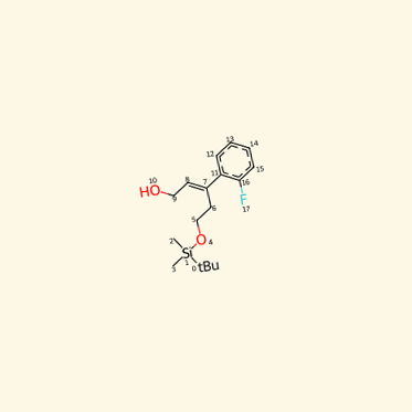 CC(C)(C)[Si](C)(C)OCC/C(=C\CO)c1ccccc1F